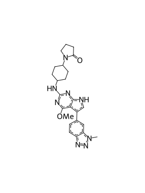 COc1nc(NC2CCC(N3CCCC3=O)CC2)nc2[nH]cc(-c3ccc4nnn(C)c4c3)c12